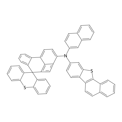 c1ccc2c(c1)Sc1ccccc1C21c2ccccc2-c2ccc(N(c3ccc4ccccc4c3)c3ccc4c(c3)sc3c5ccccc5ccc43)c3cccc1c23